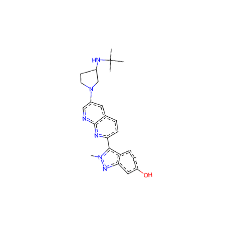 Cn1nc2cc(O)ccc2c1-c1ccc2cc(N3CCC(NC(C)(C)C)C3)cnc2n1